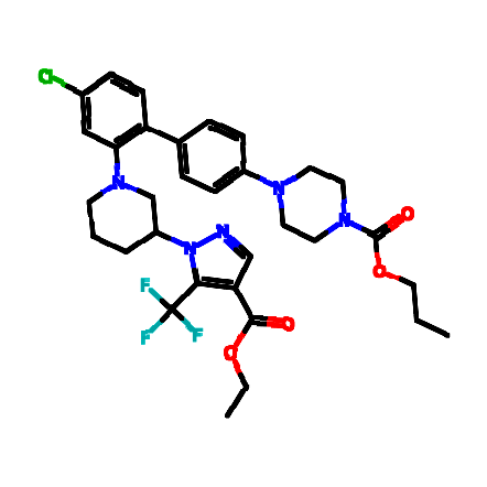 CCCOC(=O)N1CCN(c2ccc(-c3ccc(Cl)cc3N3CCCC(n4ncc(C(=O)OCC)c4C(F)(F)F)C3)cc2)CC1